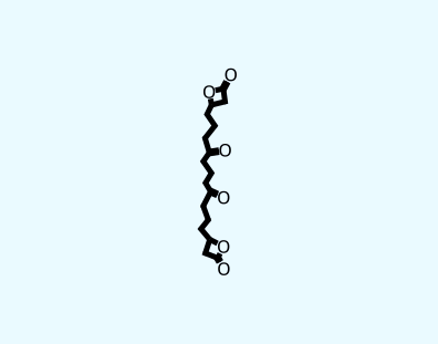 O=C(CCCC(=O)CCCC1CC(=O)O1)CCCC1CC(=O)O1